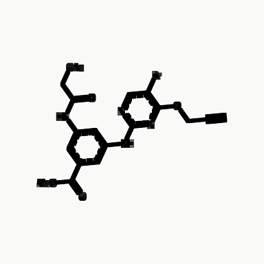 C#CCOc1nc(Nc2cc(NC(=O)COC(C)=O)cc(C(=O)OC)c2)ncc1Br